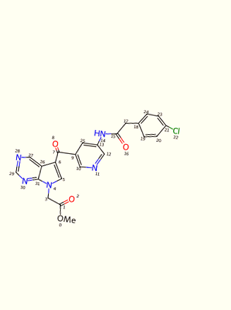 COC(=O)Cn1cc(C(=O)c2cncc(NC(=O)Cc3ccc(Cl)cc3)c2)c2cncnc21